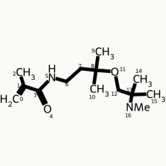 C=C(C)C(=O)NCCC(C)(C)OCC(C)(C)NC